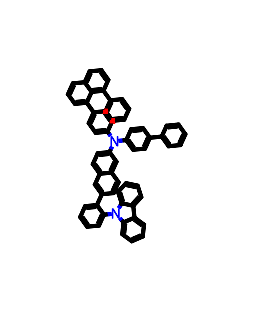 c1ccc(-c2ccc(N(c3ccc(-c4cccc5cccc(-c6ccccc6)c45)cc3)c3ccc4cc(-c5ccccc5-n5c6ccccc6c6ccccc65)ccc4c3)cc2)cc1